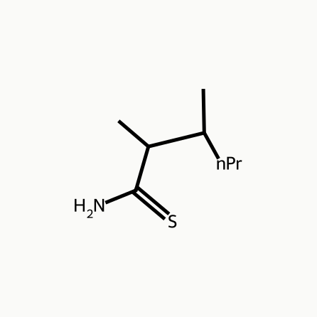 CCCC(C)C(C)C(N)=S